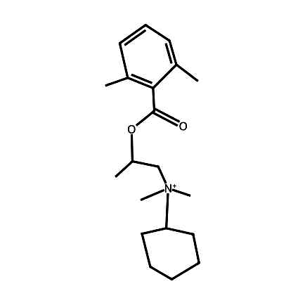 Cc1cccc(C)c1C(=O)OC(C)C[N+](C)(C)C1CCCCC1